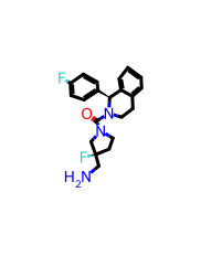 NC[C@@]1(F)CCN(C(=O)N2CCc3ccccc3[C@@H]2c2ccc(F)cc2)C1